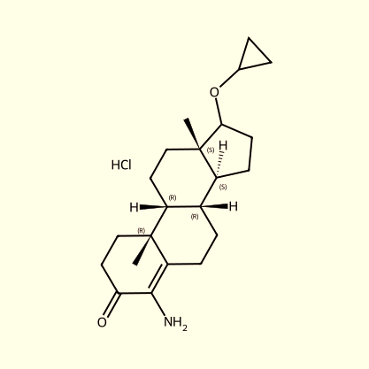 C[C@]12CCC(=O)C(N)=C1CC[C@@H]1[C@H]2CC[C@]2(C)C(OC3CC3)CC[C@@H]12.Cl